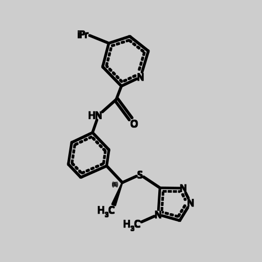 CC(C)c1ccnc(C(=O)Nc2cccc([C@H](C)Sc3nncn3C)c2)c1